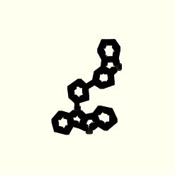 c1cc(-c2ccc3oc4ccccc4c3c2)cc(-n2c3ccccc3c3oc4ccccc4c32)c1